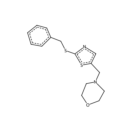 c1ccc(CSc2ncc(CN3CCOCC3)s2)cc1